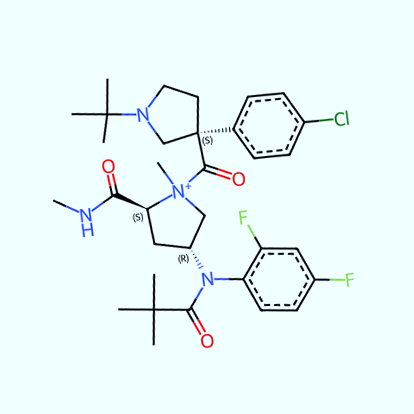 CNC(=O)[C@@H]1C[C@@H](N(C(=O)C(C)(C)C)c2ccc(F)cc2F)C[N+]1(C)C(=O)[C@]1(c2ccc(Cl)cc2)CCN(C(C)(C)C)C1